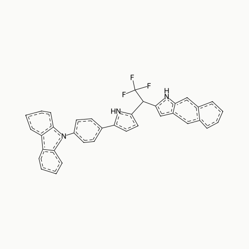 FC(F)(F)C(c1ccc(-c2ccc(-n3c4ccccc4c4ccccc43)cc2)[nH]1)c1cc2cc3ccccc3cc2[nH]1